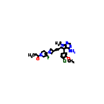 C=CC(=O)N1CC[C@H](N2CC(C#Cc3c(-c4ccc(Cl)c(OC)c4)c4c(N)ncnc4n3C)C2)[C@H](F)C1